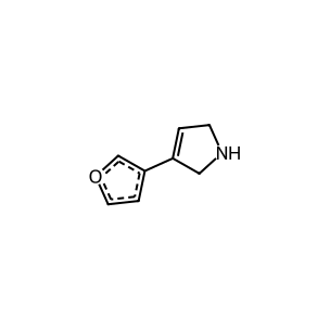 C1=C(c2ccoc2)CNC1